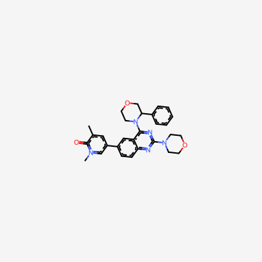 Cc1cc(-c2ccc3nc(N4CCOCC4)nc(N4CCOCC4c4ccccc4)c3c2)cn(C)c1=O